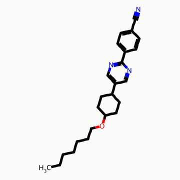 CCCCCCCOC1CCC(c2cnc(-c3ccc(C#N)cc3)nc2)CC1